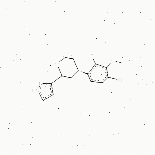 COc1c(Cl)ccc([C@@H]2CCOC(c3cc[nH]n3)C2)c1F